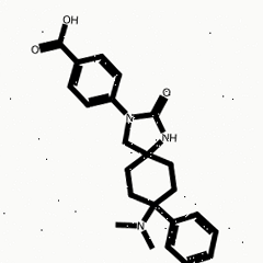 CN(C)C1(c2ccccc2)CCC2(CC1)CN(c1ccc(C(=O)O)cc1)C(=O)N2